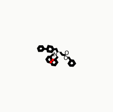 O=C(CC[C@@H](Cc1ccc(-c2ccccc2)cc1)N(Cc1ccccc1)Cc1ccccc1)OCc1ccccc1